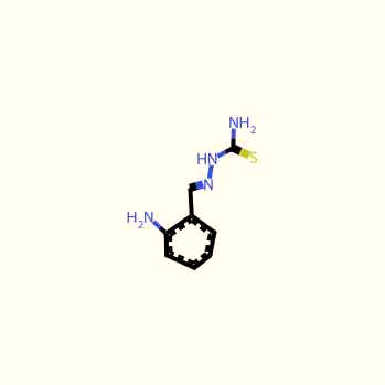 NC(=S)NN=Cc1ccccc1N